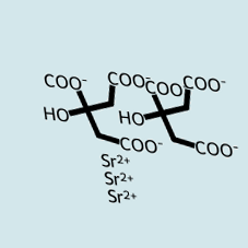 O=C([O-])CC(O)(CC(=O)[O-])C(=O)[O-].O=C([O-])CC(O)(CC(=O)[O-])C(=O)[O-].[Sr+2].[Sr+2].[Sr+2]